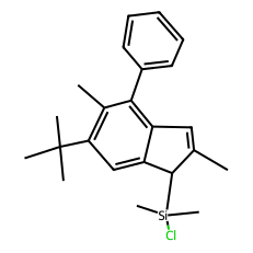 CC1=Cc2c(cc(C(C)(C)C)c(C)c2-c2ccccc2)C1[Si](C)(C)Cl